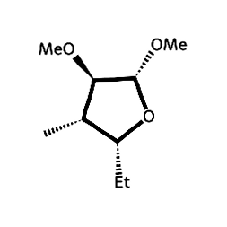 CC[C@H]1O[C@@H](OC)[C@H](OC)[C@H]1C